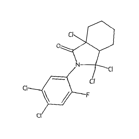 O=C1N(c2cc(Cl)c(Cl)cc2F)C(Cl)(Cl)C2CCCCC12Cl